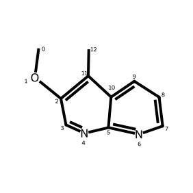 COc1cnc2ncccc2c1C